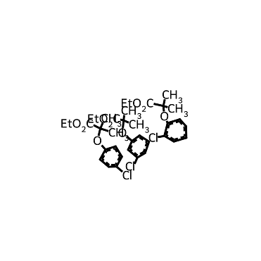 CCOC(=O)C(C)(C)Oc1ccc(Cl)cc1.CCOC(=O)C(C)(C)Oc1cccc(Cl)c1.CCOC(=O)C(C)(C)Oc1ccccc1Cl